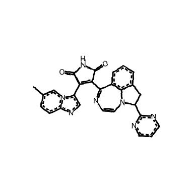 Cc1ccc2ncc(C3=C(C4=NC=CN5c6c(cccc64)CC5c4ncccn4)C(=O)NC3=O)n2c1